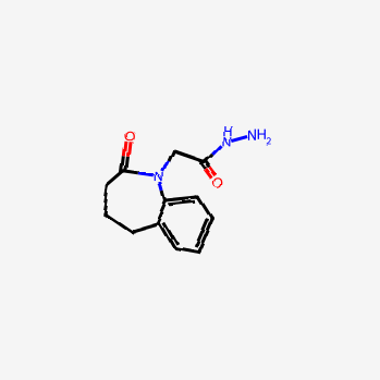 NNC(=O)CN1C(=O)CCCc2ccccc21